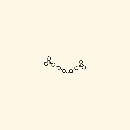 c1ccc2c(c1)c1ccccc1n2-c1ccc(-c2ccc(Cc3ccc(-c4ccc(-c5ccc(-n6c7ccccc7c7ccccc76)cc5)cc4)cc3)cc2)cc1